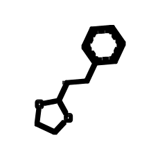 [CH](Cc1ccccc1)C1OCCO1